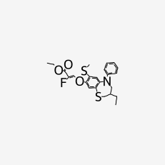 CCOC(=O)/C(F)=C/Oc1cc2c(cc1SC)N(c1ccccc1)CC(CC)CS2